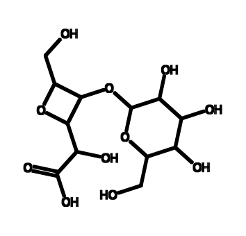 O=C(O)C(O)C1OC(CO)C1OC1OC(CO)C(O)C(O)C1O